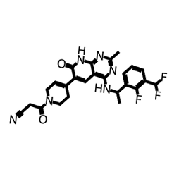 Cc1nc(NC(C)c2cccc(C(F)F)c2F)c2cc(C3=CCN(C(=O)CC#N)CC3)c(=O)[nH]c2n1